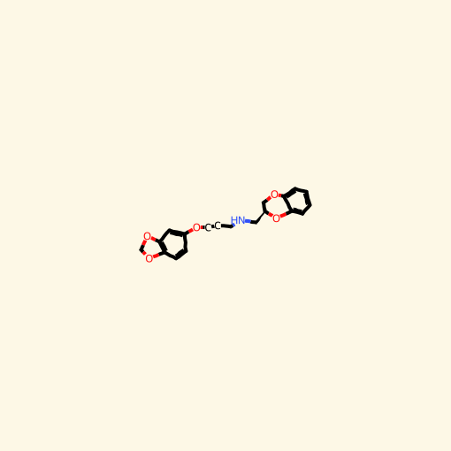 c1ccc2c(c1)OC[C@H](CNCCCOc1ccc3c(c1)OCO3)O2